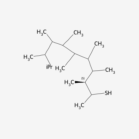 CC(C)C(C)C(C)C(C)C(C)C(C)C(C)[C@H](C)C(C)S